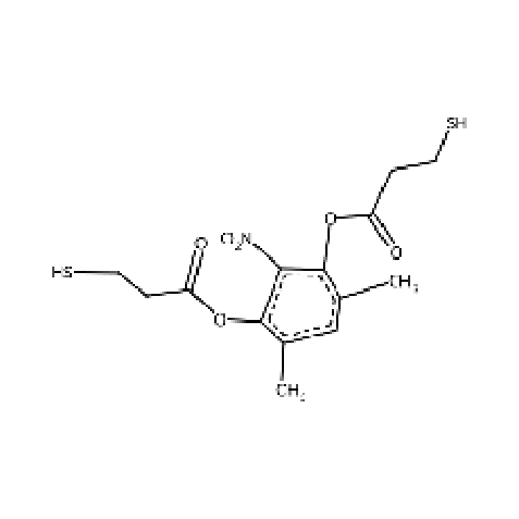 Cc1cc(C)c(OC(=O)CCS)c([N+](=O)[O-])c1OC(=O)CCS